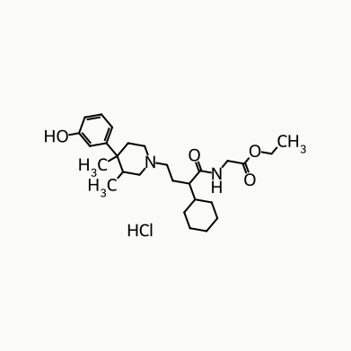 CCOC(=O)CNC(=O)C(CCN1CCC(C)(c2cccc(O)c2)C(C)C1)C1CCCCC1.Cl